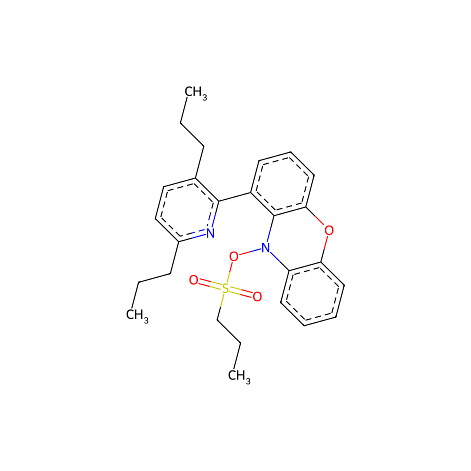 CCCc1ccc(CCC)c(-c2cccc3c2N(OS(=O)(=O)CCC)c2ccccc2O3)n1